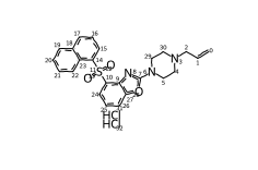 C=CCN1CCN(c2nc3c(S(=O)(=O)c4cccc5ccccc45)cccc3o2)CC1.Cl.Cl